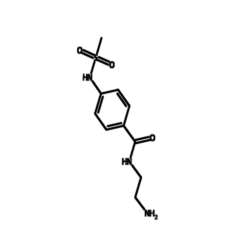 CS(=O)(=O)Nc1ccc(C(=O)NCCN)cc1